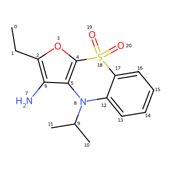 CCc1oc2c(c1N)N(C(C)C)c1ccccc1S2(=O)=O